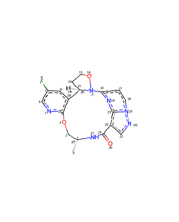 C[C@@H]1COc2ncc(F)cc2[C@H]2CCON2c2ccn3ncc(c3n2)C(=O)N1